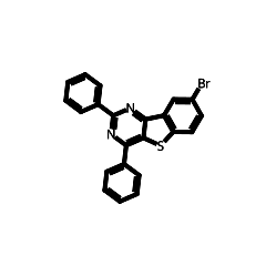 Brc1ccc2sc3c(-c4ccccc4)nc(-c4ccccc4)nc3c2c1